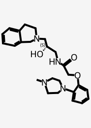 CN1CCN(c2ccccc2OCC(=O)NC[C@H](O)CN2CCc3ccccc3C2)CC1